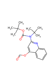 CC(C)(C)OC(=O)N(c1cc(OC=O)c2ccccc2n1)C(C)(C)C